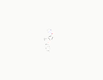 CC1CC2CC(C1)CC(C)(COc1cc(F)c(C(=O)N3CCC[C@@]3(C)C(=O)O)cc1C1CC1)C2